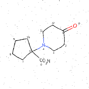 O=C1CCN(C2(C(=O)O)CCCC2)CC1